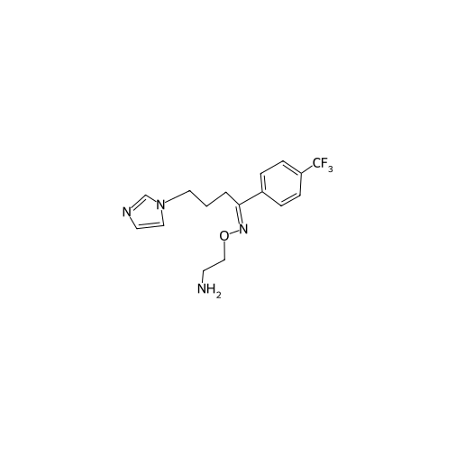 NCCON=C(CCCn1ccnc1)c1ccc(C(F)(F)F)cc1